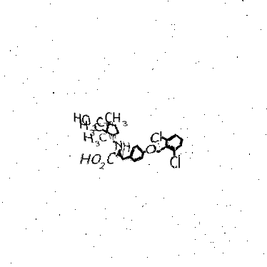 CC1(C)[C@@H](CN[C@@H](Cc2ccc(OCc3c(Cl)cccc3Cl)cc2)C(=O)O)CC[C@@]1(C)C(=O)O